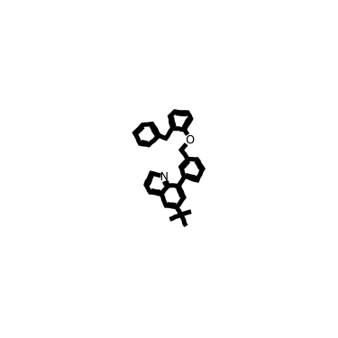 CC(C)(C)c1cc(-c2cccc(COc3ccccc3Cc3ccccc3)c2)c2ncccc2c1